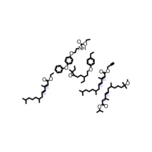 C#CCOC(=O)/C=C(C)/C=C/CC(C)CCCC(C)C.CCOC(=O)/C=C(C)/C=C/CC(C)CCCC(C)C.CCOC(=O)NCCOc1ccc(Oc2ccccc2)cc1.CCc1ccc(OCCC(CC)CCC2OC2(C)CC)cc1.COC(C)(C)CCCC(C)C/C=C/C(C)=C/C(=O)OC(C)C